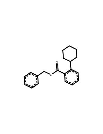 O=C(OCc1ccccc1)c1ccccc1C1CCCCC1